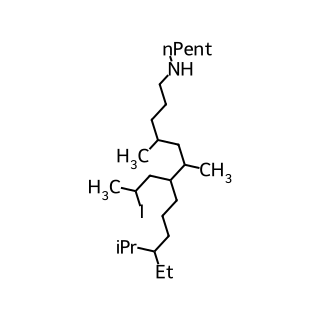 CCCCCNCCCC(C)CC(C)C(CCCC(CC)C(C)C)CC(C)I